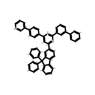 c1ccc(-c2cccc(-c3nc(-c4ccc(-c5cccnc5)cc4)cc(-c4ccc5c(c4)C(c4ccccc4)(c4ccccc4)c4ccccc4-5)n3)c2)cc1